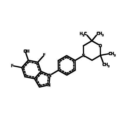 CC1(C)CN(c2ccc(-n3ncc4cc(F)c(O)c(F)c43)cc2)CC(C)(C)O1